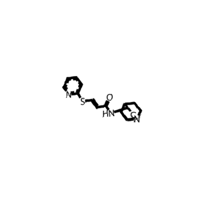 O=C(C=CSc1ccccn1)NC1CN2CCC1CC2